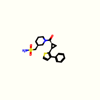 NS(=O)(=O)C[C@H]1CCCN(C(=O)[C@@H]2C[C@H]2c2sccc2-c2ccccc2)C1